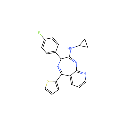 Fc1ccc(C2N=C(c3cccs3)c3cccnc3N=C2NC2CC2)cc1